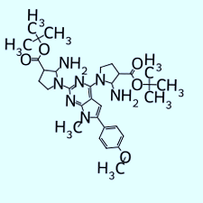 COc1ccc(-c2cc3c(N4CCC(C(=O)OC(C)(C)C)C4N)nc(N4CCC(C(=O)OC(C)(C)C)C4N)nc3n2C)cc1